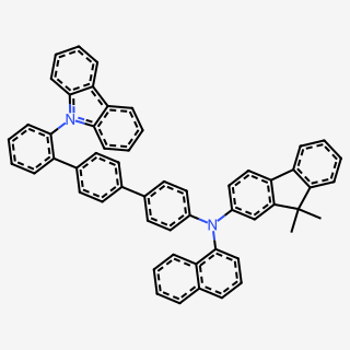 CC1(C)c2ccccc2-c2ccc(N(c3ccc(-c4ccc(-c5ccccc5-n5c6ccccc6c6ccccc65)cc4)cc3)c3cccc4ccccc34)cc21